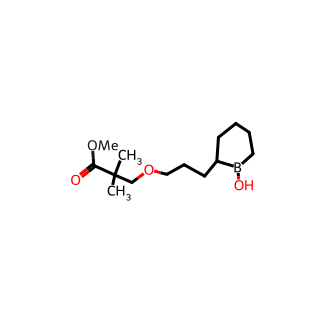 COC(=O)C(C)(C)COCCCC1CCCCB1O